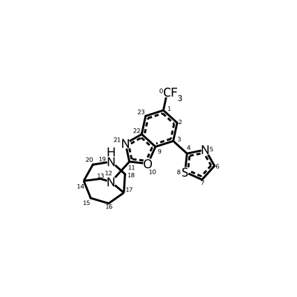 FC(F)(F)c1cc(-c2nccs2)c2oc(N3CC4CCC3CNC4)nc2c1